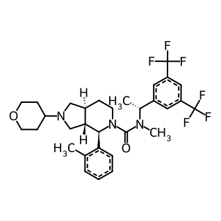 Cc1ccccc1[C@H]1[C@@H]2CN(C3CCOCC3)C[C@H]2CCN1C(=O)N(C)[C@H](C)c1cc(C(F)(F)F)cc(C(F)(F)F)c1